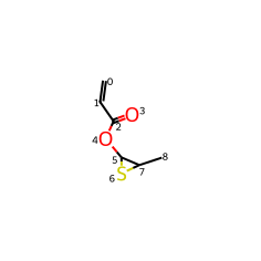 C=CC(=O)OC1SC1C